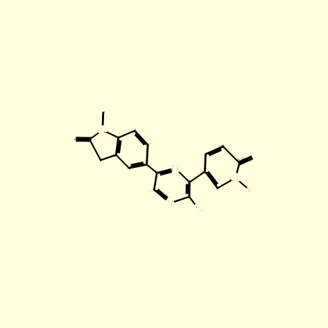 CC(C)n1cc(-c2nc(-c3ccc4c(c3)CC(=O)N4C)cnc2N)ccc1=O